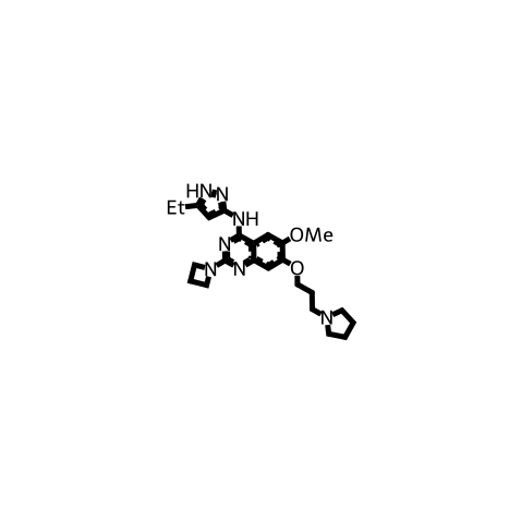 CCc1cc(Nc2nc(N3CCC3)nc3cc(OCCCN4CCCC4)c(OC)cc23)n[nH]1